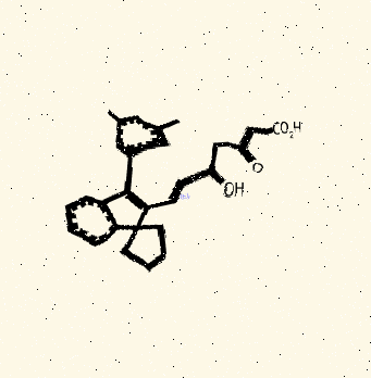 Cc1cc(C)cc(C2=C(/C=C/C(O)CC(=O)CC(=O)O)C3(CCCC3)c3ccccc32)c1